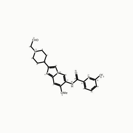 COc1cc2nc(C3CCN(CC=O)CC3)cn2cc1NC(=O)c1cccc(C(F)(F)F)n1